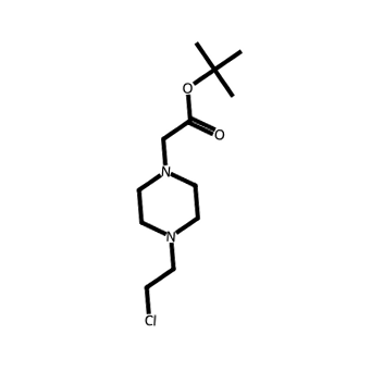 CC(C)(C)OC(=O)CN1CCN(CCCl)CC1